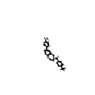 CC(C)(C)c1ccc(C(=O)N2CCOc3ccc(-c4ccc(N)nc4)cc3C2)cc1